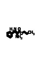 CCCOC(=O)C(N)=C(N)c1ccccc1